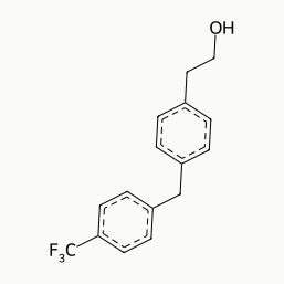 OCCc1ccc(Cc2ccc(C(F)(F)F)cc2)cc1